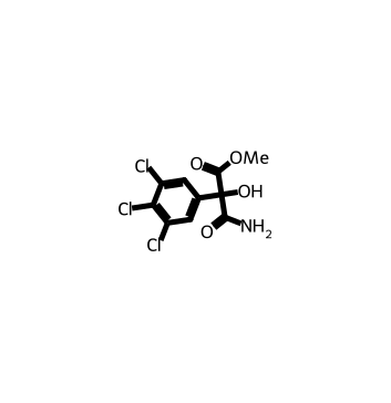 COC(=O)C(O)(C(N)=O)c1cc(Cl)c(Cl)c(Cl)c1